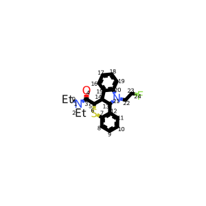 CCN(CC)C(=O)C1Sc2ccccc2C2C1c1ccccc1N2CCF